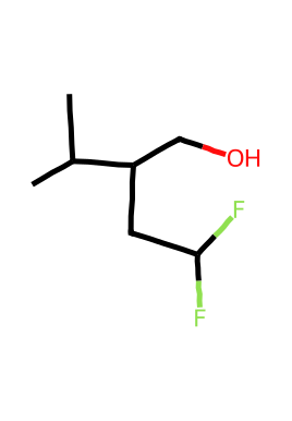 CC(C)C(CO)CC(F)F